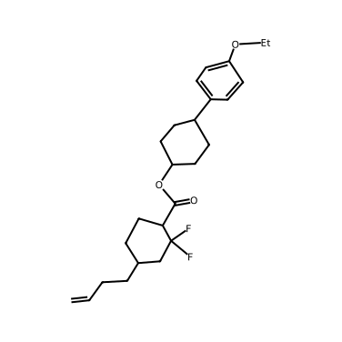 C=CCCC1CCC(C(=O)OC2CCC(c3ccc(OCC)cc3)CC2)C(F)(F)C1